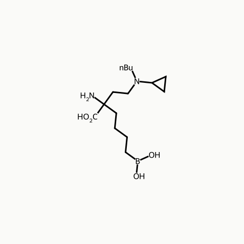 CCCCN(CCC(N)(CCCCB(O)O)C(=O)O)C1CC1